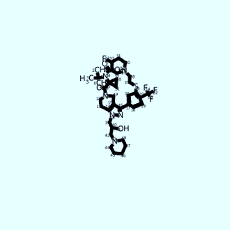 CC(C)(C)N(C(=O)O)C1(C(=O)N2CCc3c(c(-c4ccc(C(F)(F)F)c(SCCN5CCC(F)CC5)c4)nn3CC(O)CN3CCCCC3)C2)CC1